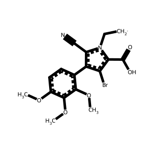 [CH2]Cn1c(C#N)c(-c2ccc(OC)c(OC)c2OC)c(Br)c1C(=O)O